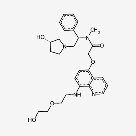 CN(C(=O)COc1ccc(NCCOCCO)c2ncccc12)C(CN1CC[C@H](O)C1)c1ccccc1